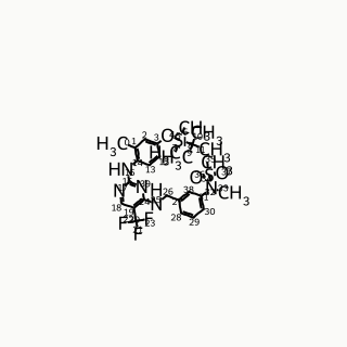 Cc1cc(O[Si](C)(C)C(C)(C)C)ccc1Nc1ncc(C(F)(F)F)c(NCc2cccc(N(C)S(C)(=O)=O)c2)n1